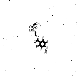 C=CS(=O)(=O)NCCOC(=O)c1c(F)c(F)c(N=[N+]=[N-])c(F)c1F